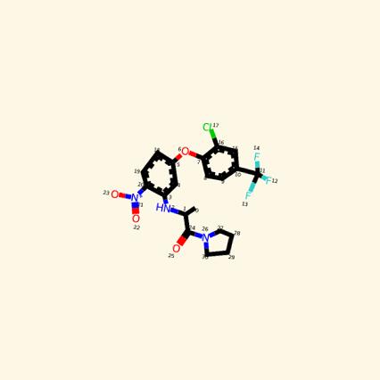 CC(Nc1cc(Oc2ccc(C(F)(F)F)cc2Cl)ccc1[N+](=O)[O-])C(=O)N1CCCC1